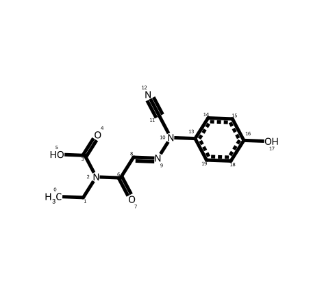 CCN(C(=O)O)C(=O)C=NN(C#N)c1ccc(O)cc1